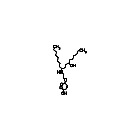 CCCCCCCCC(CCC(O)CCCCCC)NCCOC(=O)/C=C\C(=O)O